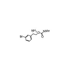 CNC(=O)OC[C@@H](N)c1cccc(Br)c1